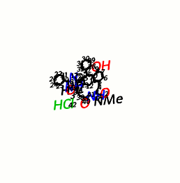 CNC(=O)C1Cc2ccc(O)c(c2C[C@@H](C)C=C=NC(=N)c2ccccc2)C(c2ccccc2)CCC(=O)CCC(=O)N1.Cl